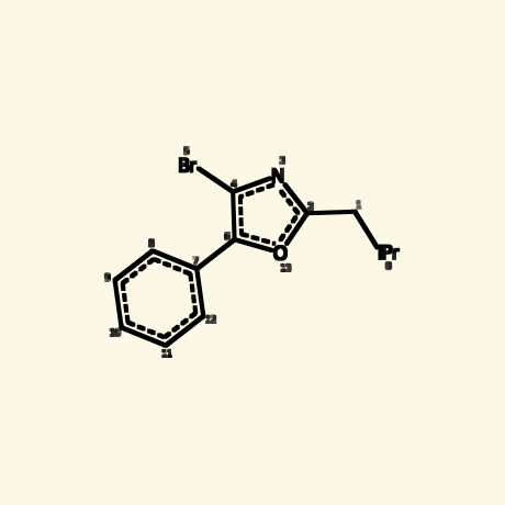 CC(C)Cc1nc(Br)c(-c2ccccc2)o1